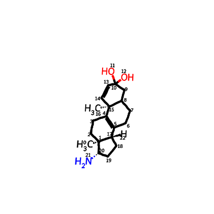 C[C@]12CCC3=C(CCC4CC(O)(O)C=C[C@]34C)[C@@H]1CC[C@@H]2N